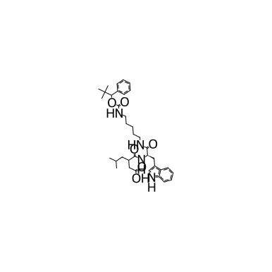 CC(C)CC(CC(=O)O)C(=O)N[C@H](Cc1c[nH]c2ccccc12)C(=O)NCCCCCNC(=O)OC(c1ccccc1)C(C)(C)C